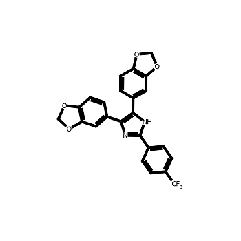 FC(F)(F)c1ccc(-c2nc(-c3ccc4c(c3)OCO4)c(-c3ccc4c(c3)OCO4)[nH]2)cc1